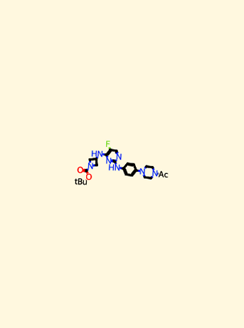 CC(=O)N1CCN(c2ccc(Nc3ncc(F)c(NC4CN(C(=O)OC(C)(C)C)C4)n3)cc2)CC1